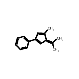 CC1=CC(c2ccccc2)=CC1=C(C)C